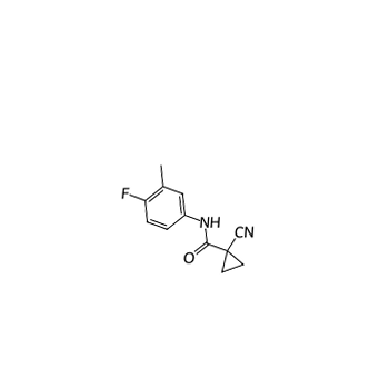 Cc1cc(NC(=O)C2(C#N)CC2)ccc1F